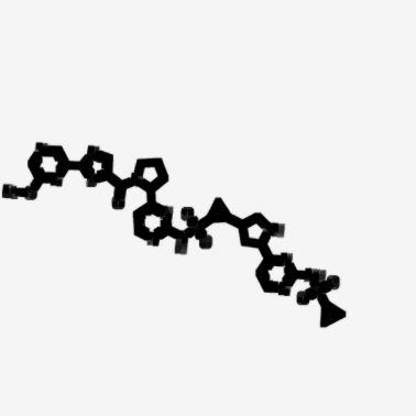 CCOc1cncc(-c2ncc(C(=O)N3CCCC3c3ccnc(NS(=O)(=O)C4CC4C4CNC(c5ccnc(NS(=O)(=O)C6CC6)n5)C4)n3)s2)n1